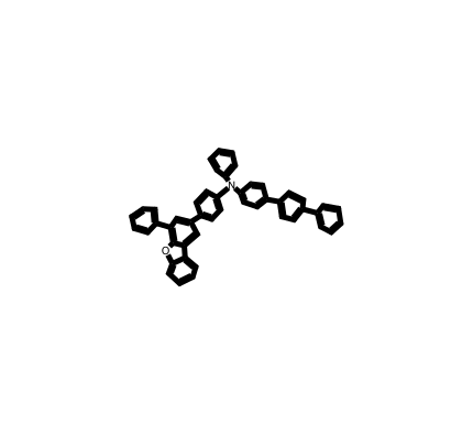 c1ccc(-c2ccc(-c3ccc(N(c4ccccc4)c4ccc(-c5cc(-c6ccccc6)c6oc7ccccc7c6c5)cc4)cc3)cc2)cc1